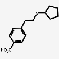 O=C(O)c1ccc(CCSC2CCCC2)cc1